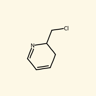 ClCC1CC=CC=N1